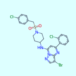 O=S(=O)(Cc1ccc(Cl)cc1)N1CCC(Nc2cc(-c3ccccc3Cl)nc3c(Br)cnn23)CC1